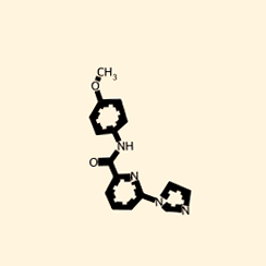 COc1ccc(NC(=O)c2cccc(-n3ccnc3)n2)cc1